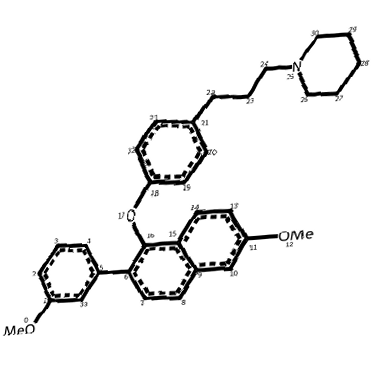 COc1cccc(-c2ccc3cc(OC)ccc3c2Oc2ccc(CCCN3CCCCC3)cc2)c1